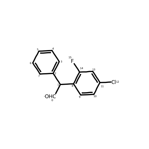 O=[C]C(c1ccccc1)c1ccc(Cl)cc1F